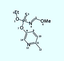 CCOP(=S)(/N=C/OC)Oc1ccc(C)nc1